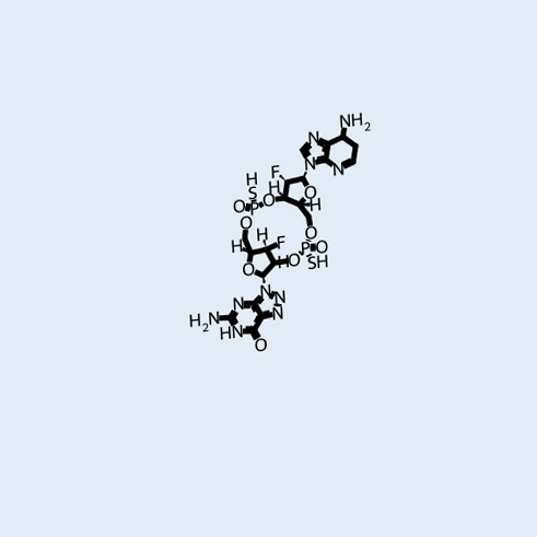 Nc1nc2c(nnn2[C@@H]2O[C@@H]3COP(=O)(S)O[C@H]4[C@H](F)[C@H](n5cnc6c5N=CCC6N)O[C@@H]4COP(=O)(S)O[C@@H]2[C@@H]3F)c(=O)[nH]1